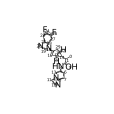 CC(C(O)Nc1ccc2nccn2c1)[C@H]1[C@@H]2C[C@@H](n3cnc4cc(F)c(F)cc43)C[C@@H]21